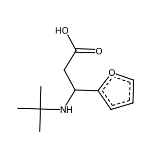 CC(C)(C)NC(CC(=O)O)c1ccco1